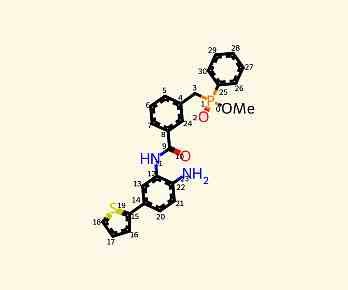 COP(=O)(Cc1cccc(C(=O)Nc2cc(-c3cccs3)ccc2N)c1)c1ccccc1